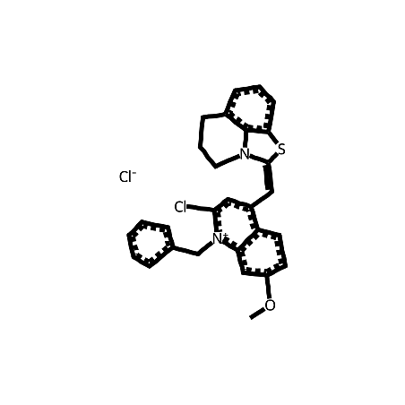 COc1ccc2c(C=C3Sc4cccc5c4N3CCC5)cc(Cl)[n+](Cc3ccccc3)c2c1.[Cl-]